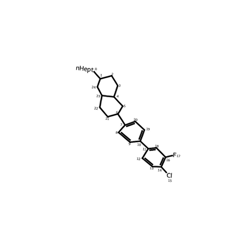 CCCCCCCC1CCC2CC(c3ccc(-c4ccc(Cl)c(F)c4)cc3)CCC2C1